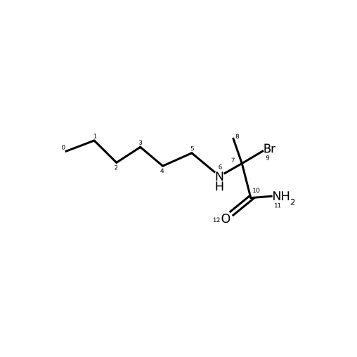 CCCCCCNC(C)(Br)C(N)=O